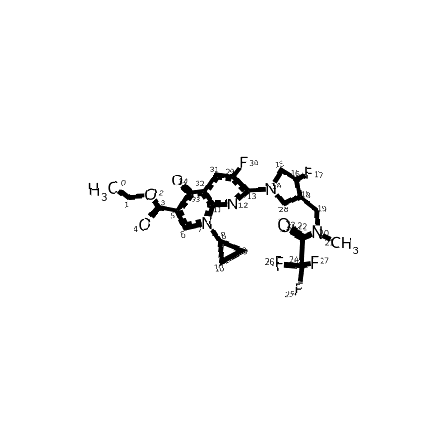 CCOC(=O)c1cn(C2CC2)c2nc(N3CC(F)C(CN(C)C(=O)C(F)(F)F)C3)c(F)cc2c1=O